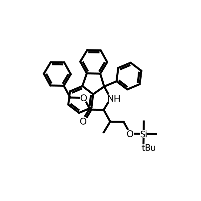 CC(CO[Si](C)(C)C(C)(C)C)C(NC1(c2ccccc2)c2ccccc2-c2ccccc21)C(=O)OCc1ccccc1